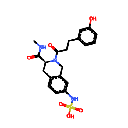 CNC(=O)[C@@H]1Cc2ccc(NS(=O)(=O)O)cc2CN1C(=O)CCc1cccc(O)c1